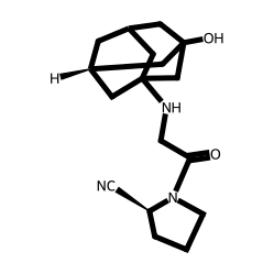 N#C[C@@H]1CCCN1C(=O)CNC12CC3C[C@H](CC(O)(C3)C1)C2